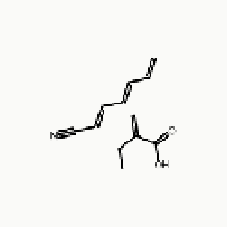 C=C(CC)C(=O)O.C=CC=CC=CC#N